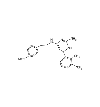 CSc1ccc(CCNC2=CC(c3cccc(C(F)(F)F)c3C)NC(N)=N2)cc1